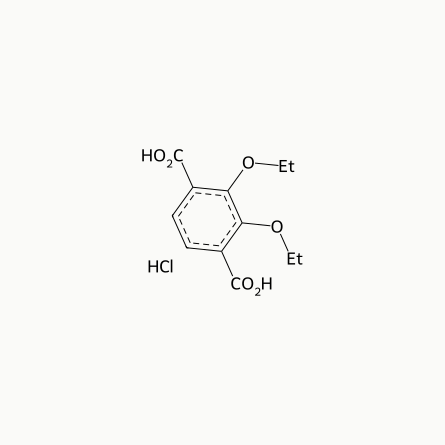 CCOc1c(C(=O)O)ccc(C(=O)O)c1OCC.Cl